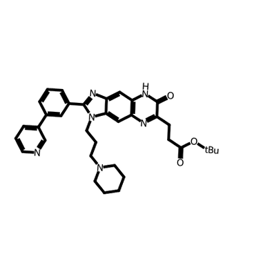 CC(C)(C)OC(=O)CCc1nc2cc3c(cc2[nH]c1=O)nc(-c1cccc(-c2cccnc2)c1)n3CCCN1CCCCC1